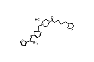 Cl.N/C(=N\c1cccc(CN2CCN(C(=O)CCCCC3CCSS3)CC2)c1)c1cccs1